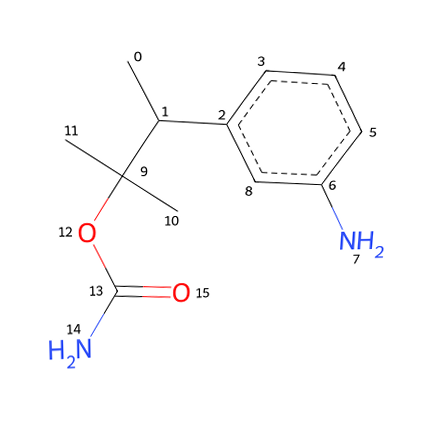 CC(c1cccc(N)c1)C(C)(C)OC(N)=O